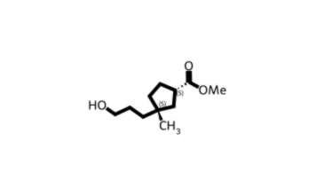 COC(=O)[C@H]1CC[C@@](C)(CCCO)C1